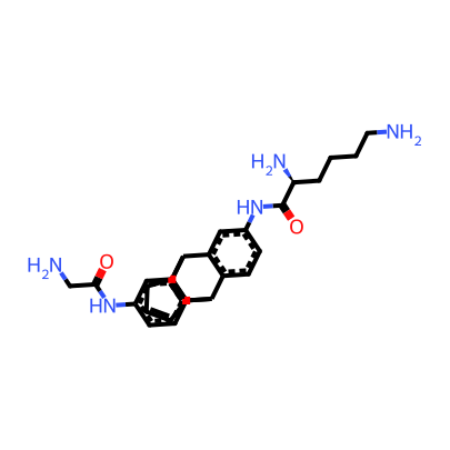 NCCCC[C@H](N)C(=O)Nc1ccc2c(c1)C1C3=C(C=CC3)C2c2ccc(NC(=O)CN)cc21